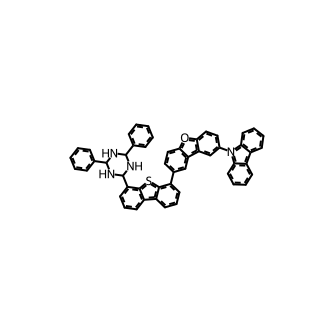 c1ccc(C2NC(c3ccccc3)NC(c3cccc4c3sc3c(-c5ccc6oc7ccc(-n8c9ccccc9c9ccccc98)cc7c6c5)cccc34)N2)cc1